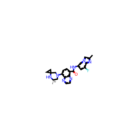 Cc1cn2cc(NC(=O)c3ccc(N4C[C@H](C)NC5(CC5)C4)c4nccnc34)cc(F)c2n1